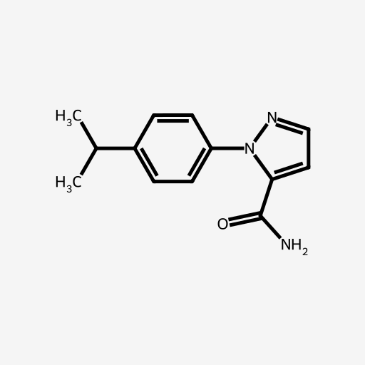 CC(C)c1ccc(-n2nccc2C(N)=O)cc1